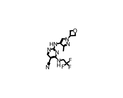 Cc1nn(C2COC2)cc1Nc1ncc(C#N)c(NCC(F)(F)F)n1